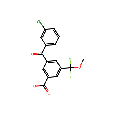 COC(F)(F)c1cc(C(=O)O)cc(C(=O)c2cccc(Cl)c2)c1